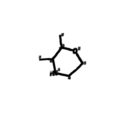 C[C]1OCCNC1C